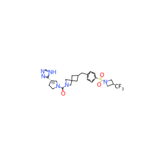 O=C(N1CC[C@H](c2nnc[nH]2)C1)N1CC2(CC(Cc3ccc(S(=O)(=O)N4CC(C(F)(F)F)C4)cc3)C2)C1